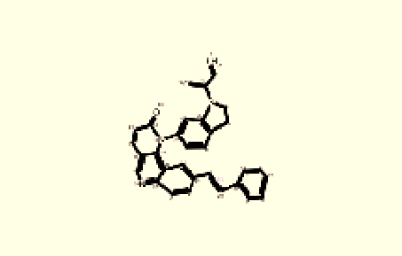 C=CC(=O)N1CCc2ccc(-n3c(=O)ccc4cnc5ccc(/C=C/c6ccccc6)cc5c43)cc21